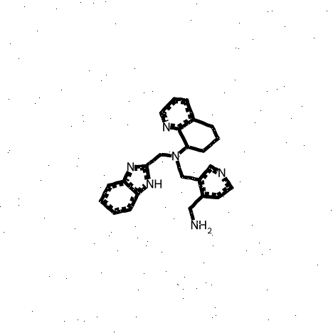 NCc1ccncc1CN(Cc1nc2ccccc2[nH]1)C1CCCc2cccnc21